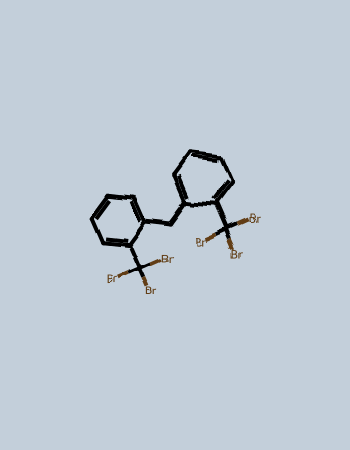 BrC(Br)(Br)c1ccccc1Cc1ccccc1C(Br)(Br)Br